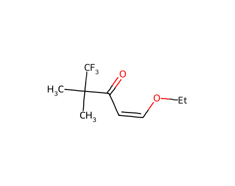 CCO/C=C\C(=O)C(C)(C)C(F)(F)F